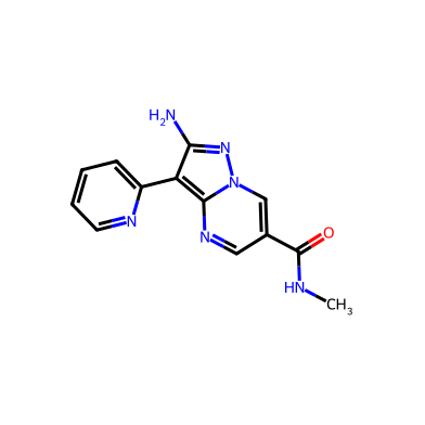 CNC(=O)c1cnc2c(-c3ccccn3)c(N)nn2c1